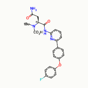 CC(C)(C)N(C(=O)O)[C@@H](CC(N)=O)C(=O)Nc1cccc(-c2ccc(Oc3ccc(F)cc3)cc2)n1